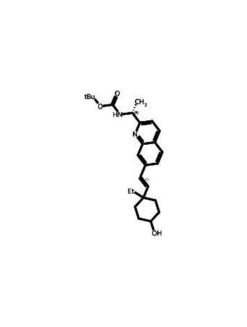 CCC1(/C=C/c2ccc3ccc([C@@H](C)NC(=O)OC(C)(C)C)nc3c2)CCC(O)CC1